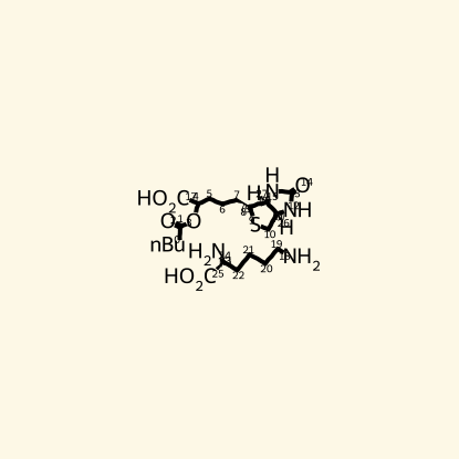 CCCCC(=O)OC(CCC[C@@H]1SC[C@@H]2NC(=O)N[C@@H]21)C(=O)O.NCCCC[C@H](N)C(=O)O